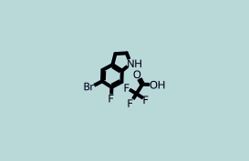 Fc1cc2c(cc1Br)CCN2.O=C(O)C(F)(F)F